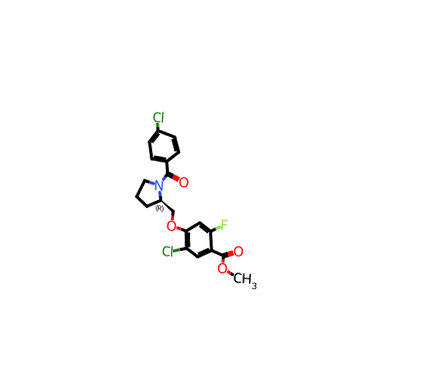 COC(=O)c1cc(Cl)c(OC[C@H]2CCCN2C(=O)c2ccc(Cl)cc2)cc1F